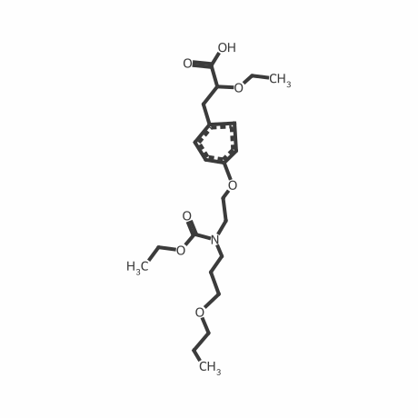 CCCOCCCN(CCOc1ccc(CC(OCC)C(=O)O)cc1)C(=O)OCC